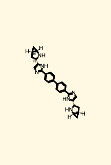 c1cc(-c2ncc([C@@H]3C[C@H]4C[C@H]4N3)[nH]2)ccc1-c1ccc(-c2ncc([C@@H]3C[C@H]4C[C@H]4N3)[nH]2)cc1